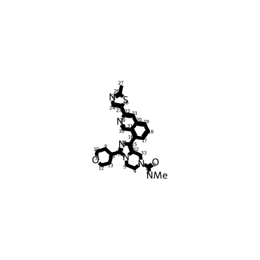 CNC(=O)N1CCn2c(C3CCOCC3)nc(-c3cccc4cc(-c5cnc(C)s5)ncc34)c2C1